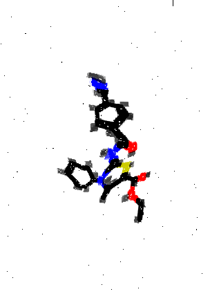 CCOC(=O)C1SC(=NC(=O)c2ccc(C#N)cc2)N(C2CCCCC2)C1C